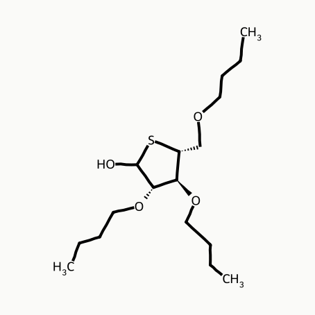 CCCCOC[C@H]1SC(O)[C@@H](OCCCC)[C@@H]1OCCCC